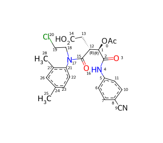 CC(=O)O[C@@H](C(=O)Nc1ccc(C#N)cc1)[C@@H](CC(=O)O)C(=O)N(CCCl)c1ccc(C)cc1C